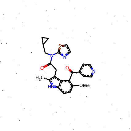 COc1ccc2[nH]c(C)c(CC(=O)N(CC3CC3)c3nccs3)c2c1C(=O)c1ccncc1